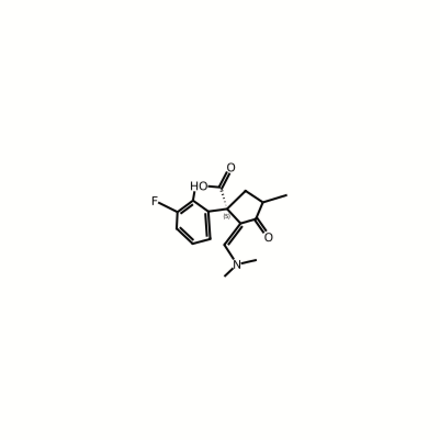 Cc1c(F)cccc1[C@@]1(C(=O)O)CC(C)C(=O)C1=CN(C)C